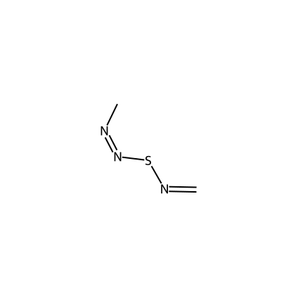 C=NS/N=N\C